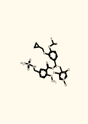 COc1ccc(CNS(C)(=O)=O)cc1C(=O)O[C@@H](Cc1c(Cl)c[n+]([O-])cc1Cl)c1ccc(OC(F)F)c(OCC2CC2)c1